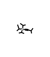 CC(C)C#C[Si](C(C)C)(C(C)C)C(C)C